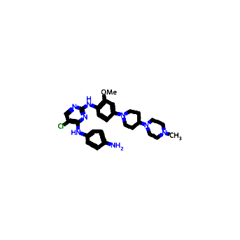 COc1cc(N2CCC(N3CCN(C)CC3)CC2)ccc1Nc1ncc(Cl)c(Nc2ccc(N)cc2)n1